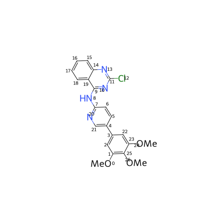 COc1cc(-c2ccc(Nc3nc(Cl)nc4ccccc34)nc2)cc(OC)c1OC